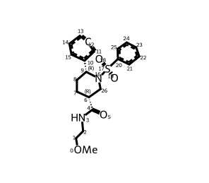 COCCNC(=O)[C@@H]1CC[C@H](c2ccccc2)N(S(=O)(=O)c2ccccc2)C1